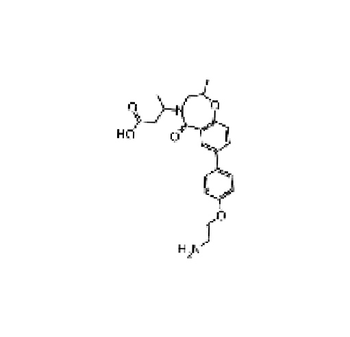 CC1CN(C(C)CC(=O)O)C(=O)c2cc(-c3ccc(OCCN)cc3)ccc2O1